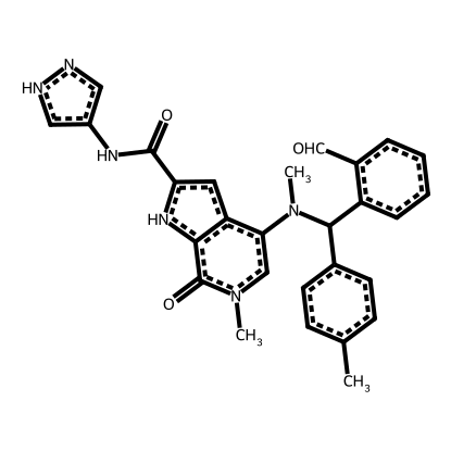 Cc1ccc(C(c2ccccc2C=O)N(C)c2cn(C)c(=O)c3[nH]c(C(=O)Nc4cn[nH]c4)cc23)cc1